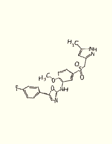 COc1ccc(S(=O)(=O)Cc2cc(C)[nH]n2)cc1Nc1ncc(-c2ccc(F)cc2)o1